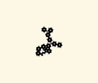 C=C(/C=C\C=C(/C)c1ccccc1)C1(c2cccc(-c3ccccc3)c2)c2ccccc2-c2cc(N(c3ccc(-c4ccccc4)cc3)c3ccc(-c4ccc5c(c4)c4ccccc4n5-c4ccccc4)cc3)ccc21